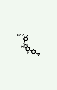 Cc1ccc(Oc2nc3cc(-c4ccc(C5CC5)cc4)c(Cl)cc3[nH]2)cc1C(=O)O